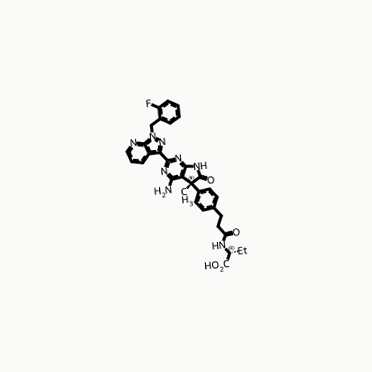 CC[C@@H](NC(=O)CCc1ccc([C@@]2(C)C(=O)Nc3nc(-c4nn(Cc5ccccc5F)c5ncccc45)nc(N)c32)cc1)C(=O)O